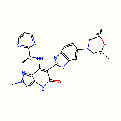 C[C@@H]1CN(c2ccc3nc(-c4c(N[C@@H](C)c5ncccn5)c5nn(C)cc5[nH]c4=O)[nH]c3c2)C[C@@H](C)O1